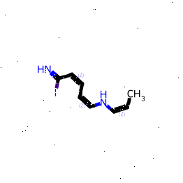 C/C=C\N/C=C\C=C/C(=N)I